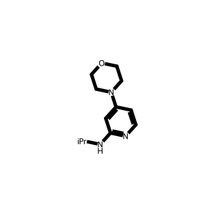 CC(C)Nc1cc(N2CCOCC2)ccn1